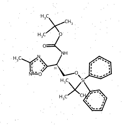 Cc1noc([C@H](CO[Si](c2ccccc2)(c2ccccc2)C(C)(C)C)NC(=O)OC(C)(C)C)n1